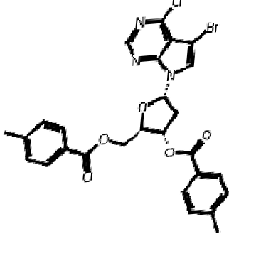 Cc1ccc(C(=O)OC[C@H]2O[C@H](n3cc(Br)c4c(Cl)ncnc43)C[C@@H]2OC(=O)c2ccc(C)cc2)cc1